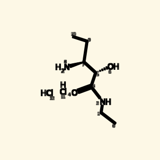 CCNC(=O)[C@@H](O)[C@@H](N)CC.Cl.Cl